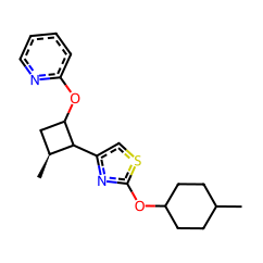 CC1CCC(Oc2nc(C3C(Oc4ccccn4)C[C@@H]3C)cs2)CC1